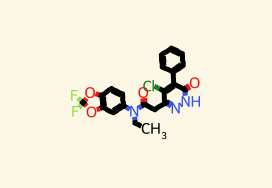 CCN(C(=O)Cc1n[nH]c(=O)c(-c2ccccc2)c1Cl)c1ccc2c(c1)OC(F)(F)O2